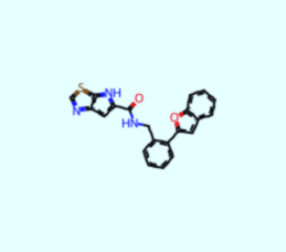 O=C(NCc1ccccc1-c1cc2ccccc2o1)c1cc2ncsc2[nH]1